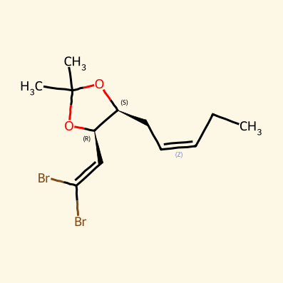 CC/C=C\C[C@@H]1OC(C)(C)O[C@@H]1C=C(Br)Br